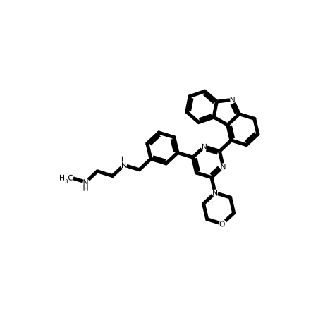 CNCCNCc1cccc(-c2cc(N3CCOCC3)nc(C3=C4C(=Nc5ccccc54)CC=C3)n2)c1